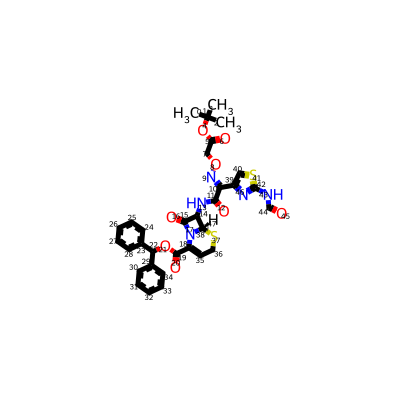 CC(C)(C)OC(=O)CON=C(C(=O)NC1C(=O)N2C(C(=O)OC(c3ccccc3)c3ccccc3)=CCS[C@@H]12)c1csc(NC=O)n1